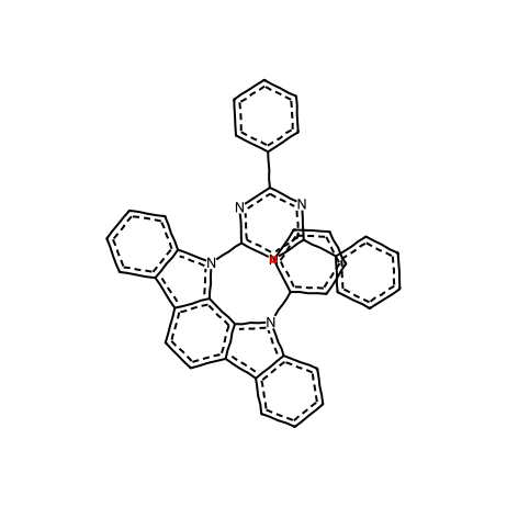 c1ccc(-c2nc(-c3ccccc3)nc(-n3c4ccccc4c4ccc5c6ccccc6n(-c6ccccc6)c5c43)n2)cc1